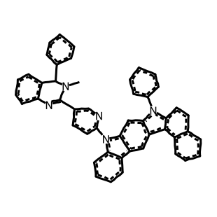 CN1C(c2ccc(-n3c4ccccc4c4cc5c6c7ccccc7ccc6n(-c6ccccc6)c5cc43)nc2)=Nc2ccccc2C1c1ccccc1